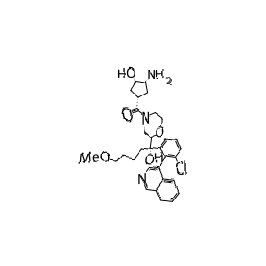 COCCCC[C@](O)(c1cccc(Cl)c1-c1cncc2ccccc12)[C@H]1CN(C(=O)[C@H]2C[C@@H](N)[C@@H](O)C2)CCO1